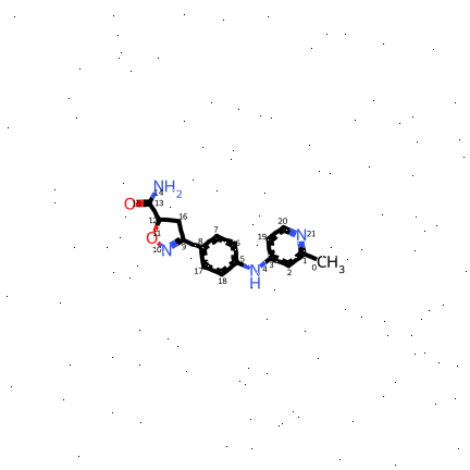 Cc1cc(Nc2ccc(C3=NOC(C(N)=O)C3)cc2)ccn1